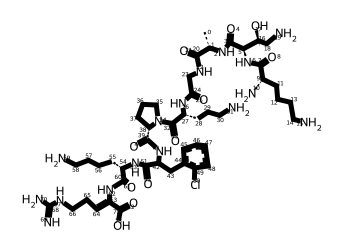 C[C@H](NC(=O)[C@@H](NC(=O)[C@@H](N)CCCCN)[C@@H](O)CN)C(=O)NCC(=O)N[C@H](CCCN)C(=O)N1CCC[C@H]1C(=O)NC(Cc1ccccc1Cl)C(=O)N[C@@H](CCCCN)C(=O)N/C(=C\CCNC(=N)N)C(=O)O